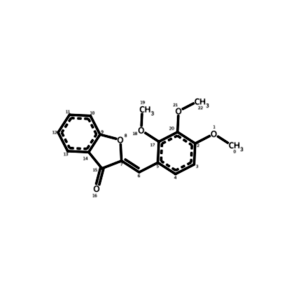 COc1ccc(/C=C2\Oc3ccccc3C2=O)c(OC)c1OC